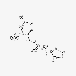 O=Cc1cc(Cl)ccc1OCC(=O)NCC1CCCO1